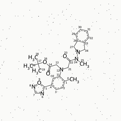 Cc1ccc(-c2ncno2)cc1N(CC(=O)OC(C)(C)C)CC(=O)N(C)N1Cc2ccccc2C1